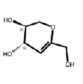 OCC1=C[C@H](O)[C@@H](O)[CH]O1